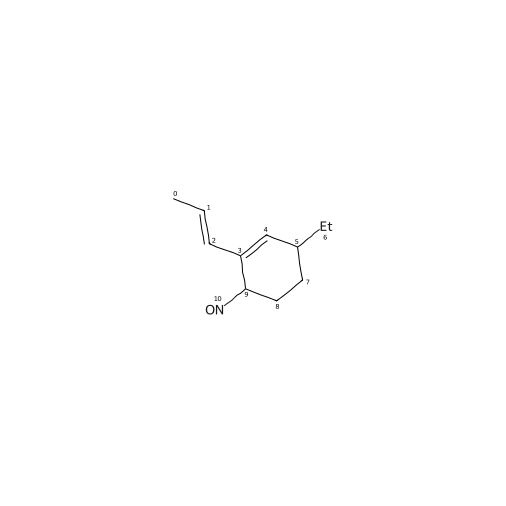 CC=CC1=CC(CC)CCC1N=O